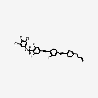 C=CCCc1ccc(C#Cc2ccc(C#Cc3cc(F)c(C(F)(F)Oc4cc(Cl)c(F)c(Cl)c4)c(F)c3)c(F)c2)cc1